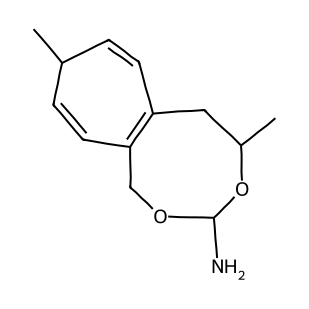 CC1C=CC2=C(C=C1)CC(C)OC(N)OC2